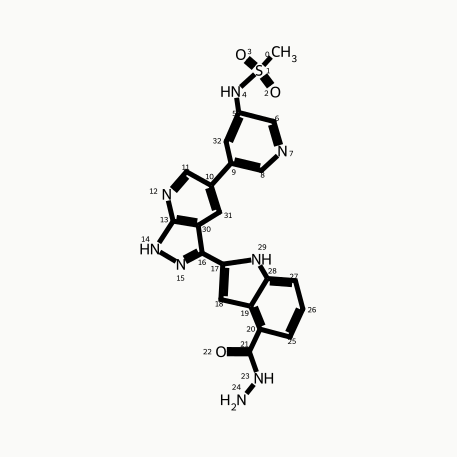 CS(=O)(=O)Nc1cncc(-c2cnc3[nH]nc(-c4cc5c(C(=O)NN)cccc5[nH]4)c3c2)c1